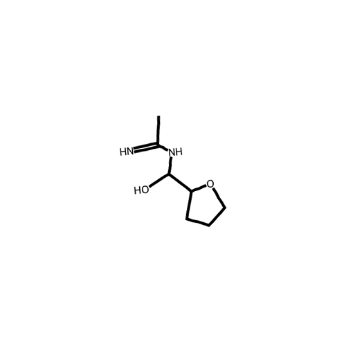 CC(=N)NC(O)C1CCCO1